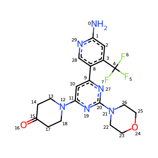 Nc1cc(C(F)(F)F)c(-c2cc(N3CCC(=O)CC3)nc(N3CCOCC3)n2)cn1